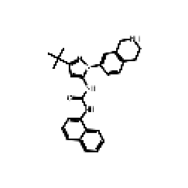 CC(C)(C)c1cc(NC(=O)Nc2cccc3ccccc23)n(-c2ccc3c(c2)CNCC3)n1